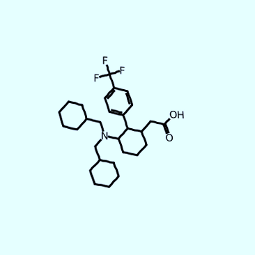 O=C(O)CC1CCCC(N(CC2CCCCC2)CC2CCCCC2)C1c1ccc(C(F)(F)F)cc1